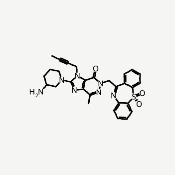 CC#CCn1c(N2CCCC(N)C2)nc2c(C)nn(CC3=Nc4ccccc4S(=O)(=O)c4ccccc43)c(=O)c21